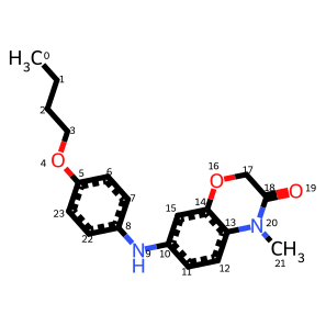 CCCCOc1ccc(Nc2ccc3c(c2)OCC(=O)N3C)cc1